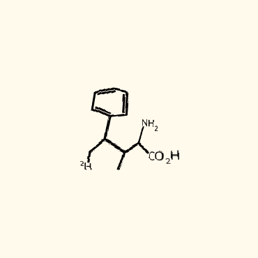 [2H]CC(c1ccccc1)C(C)C(N)C(=O)O